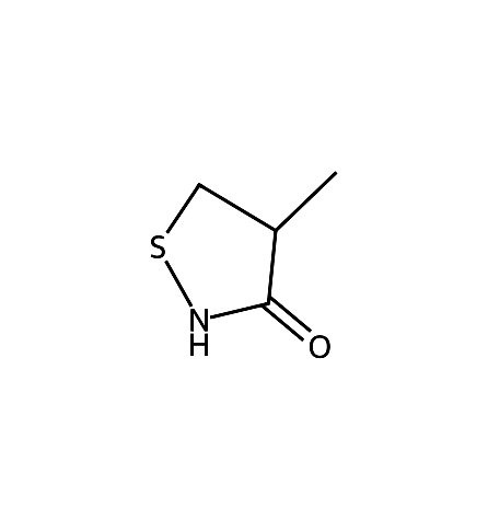 CC1CSNC1=O